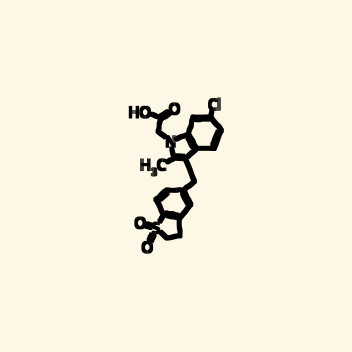 Cc1c(Cc2ccc3c(c2)CCS3(=O)=O)c2ccc(Cl)cc2n1CC(=O)O